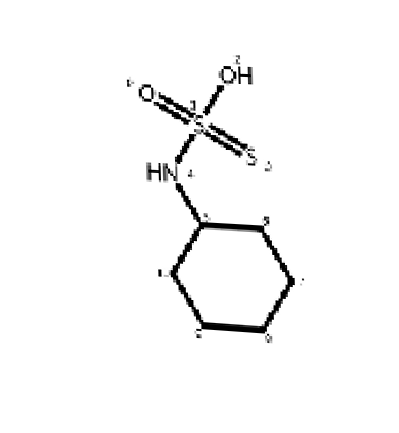 O=S(O)(=S)NC1CCCCC1